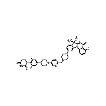 CC1(C)c2ccc(N3CCN(Cc4ncc(N5CCC(c6cc(F)c(C7CCC(=O)NC7=O)c(F)c6)CC5)cn4)CC3)cc2-n2c1nc(=O)c1c(Cl)cccc12